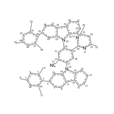 Cc1cc(C)c(-c2ccc3c4ccccc4n(-c4cc(-c5nc(C)cc(C)n5)c(-n5c6ccccc6c6ccc(-c7c(C)cc(C)cc7C)cc65)cc4C#N)c3c2)c(C)c1